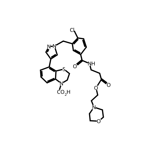 O=C(CCNC(=O)c1ccc(Cl)c(Cn2cc(-c3cccc4c3SCCN4C(=O)O)cn2)c1)OCCN1CCOCC1